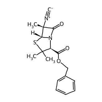 [C-]#[N+][C@]1(C)C(=O)N2[C@@H](C(=O)OCc3ccccc3)C(C)(C)S[C@@H]21